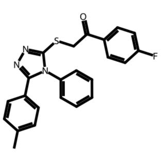 Cc1ccc(-c2nnc(SCC(=O)c3ccc(F)cc3)n2-c2ccccc2)cc1